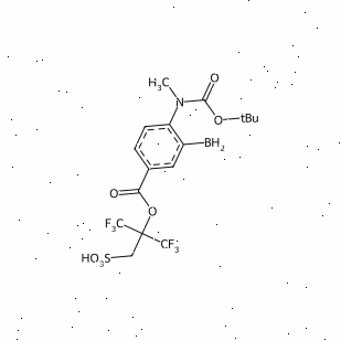 Bc1cc(C(=O)OC(CS(=O)(=O)O)(C(F)(F)F)C(F)(F)F)ccc1N(C)C(=O)OC(C)(C)C